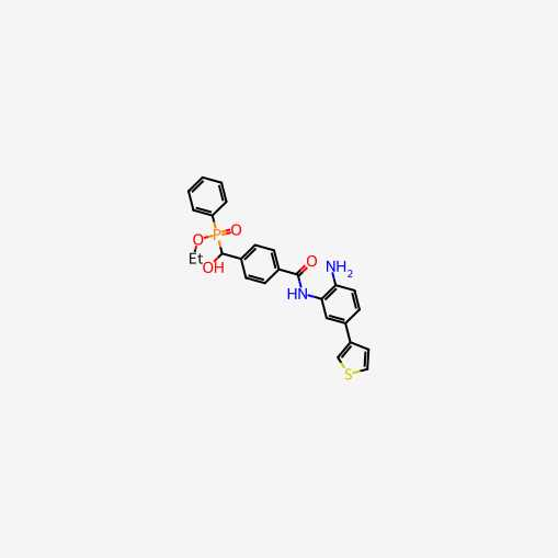 CCOP(=O)(c1ccccc1)C(O)c1ccc(C(=O)Nc2cc(-c3ccsc3)ccc2N)cc1